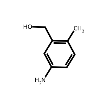 [CH2]c1ccc(N)cc1CO